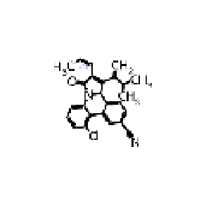 C=C(C1=C(/C=C\C)C(=O)N2c3cccc(Cl)c3-c3cc(C#N)ccc3C12)C(C)C